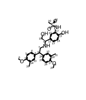 COc1ccc(C(CN[C@@H](CO)c2ccc(O)c(NS(C)(=O)=O)c2)c2ccc(OC)c(C)c2)cc1C